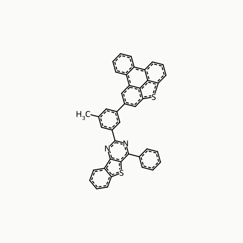 Cc1cc(-c2cc3sc4cccc5c6ccccc6c(c2)c3c45)cc(-c2nc(-c3ccccc3)c3sc4ccccc4c3n2)c1